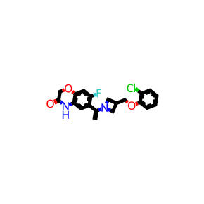 C=C(c1cc2c(cc1F)OCC(=O)N2)N1CC(COc2ccccc2Cl)C1